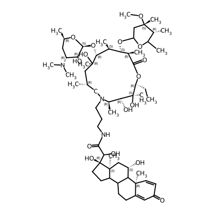 CC[C@H]1OC(=O)[C@H](C)[C@@H](OC2C[C@](C)(OC)[C@H](C)C(C)O2)[C@H](C)[C@@H](O[C@@H]2O[C@H](C)C[C@@H](N(C)C)[C@H]2O)[C@](C)(O)C[C@@H](C)CN(CCCNC(=O)C(O)[C@@]2(O)CCC3C4CCC5=CC(=O)C=C[C@]5(C)C4[C@@H](O)C[C@@]32C)[C@H](C)[C@@H](O)[C@]1(C)O